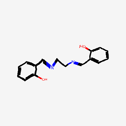 Oc1ccccc1C=NCC/N=C/c1ccccc1O